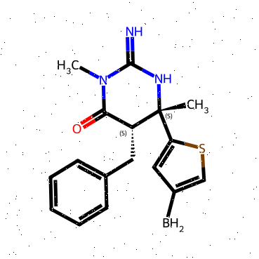 Bc1csc([C@@]2(C)NC(=N)N(C)C(=O)[C@H]2Cc2ccccc2)c1